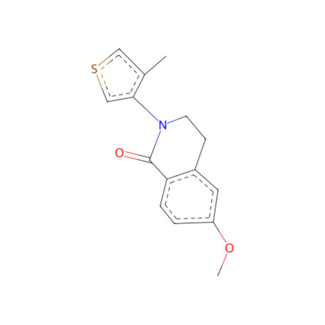 COc1ccc2c(c1)CCN(c1cscc1C)C2=O